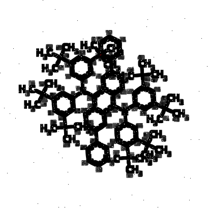 CC(C)(C)c1cc(N(c2cc(C(C)(C)C)cc(C(C)(C)C)c2)c2c3ccc(-c4ccccc4)cc3c(N(c3cc(C(C)(C)C)cc(C(C)(C)C)c3)c3ccc(C(C)(C)C)c(C(C)(C)C)c3)c3ccc(-c4ccccc4)cc23)cc(C(C)(C)C)c1